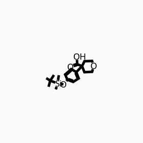 CC(C)(C)[Si](C)(C)Oc1ccc(C2(C(=O)O)CCOCC2)cc1